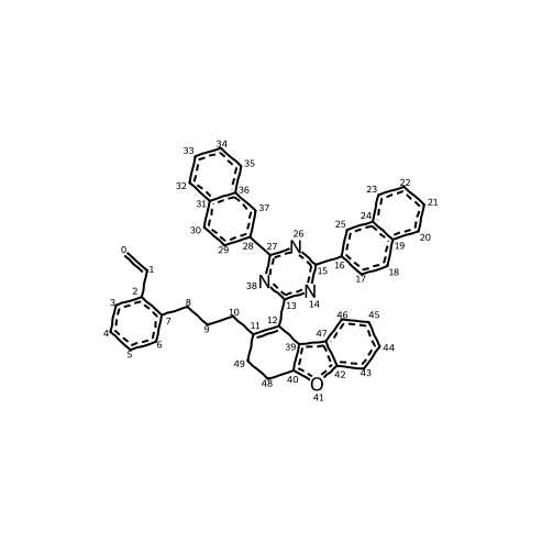 C=Cc1ccccc1CCCC1=C(c2nc(-c3ccc4ccccc4c3)nc(-c3ccc4ccccc4c3)n2)c2c(oc3ccccc23)CC1